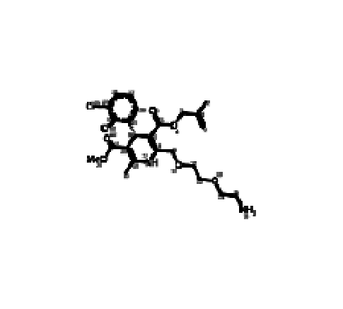 C=C(C)COC(=O)C1=C(COCCOCCN)NC(C)=C(C(=O)OC)[C@@H]1c1cccc(Cl)c1Cl